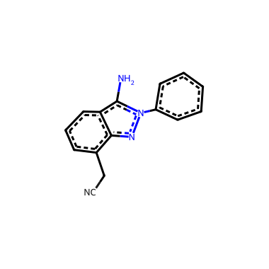 N#CCc1cccc2c(N)n(-c3ccccc3)nc12